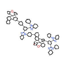 c1ccc(-n2c(-c3cc(-c4ccc(-c5ccc6c(c5)-c5c(ccc7ccccc57)C65c6ccccc6Oc6ccccc65)cc4)cc(-c4nc5ccccc5n4-c4ccc(-c5cccc6c7c(ccc56)C5(c6ccccc6Oc6ccccc65)c5cc(-c6cc(-c8nc9ccccc9n8-c8ccccc8)cc(-c8nc9ccccc9n8-c8ccccc8)c6)ccc5-7)cc4)c3)nc3ccccc32)cc1